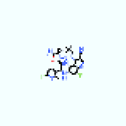 Cc1nc(F)ccc1C(Nc1cc(F)c2ncc(C#N)c(NCC(C)(C)C)c2c1)c1cn(C2(C(N)=O)CC2)nn1